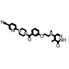 Cc1c(N(C)CCOc2cccc(C(=O)N3CCN(c4ccc(C#N)cn4)CC3)c2)cn[nH]c1=O